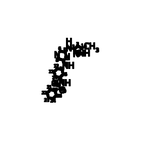 Cc1cc(Nc2cncc(Nc3cccc(NS(=O)(=O)c4ccccc4)c3)n2)n[nH]1